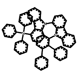 c1ccc(-c2cccc(-n3c4ccccc4c4cccc(-n5c6ccccc6c6c([Si](c7ccccc7)(c7ccccc7)c7ccccc7)cccc65)c43)c2-c2ccccc2)cc1